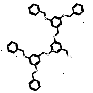 CCc1cc(OCc2cc(OCc3ccccc3)cc(OCc3ccccc3)c2)cc(OCc2cc(OCc3ccccc3)cc(OCc3ccccc3)c2)c1